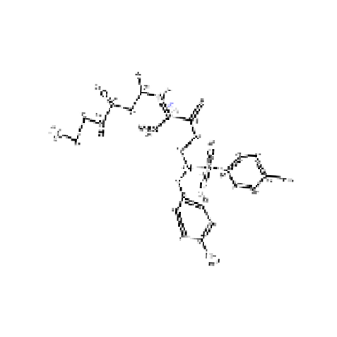 C=C(CCN(Cc1ccc(C(F)(F)F)cc1)S(=O)(=O)c1ccc(F)cc1)/C(=N/C(C)CC(=O)NCCC(F)(F)F)NC